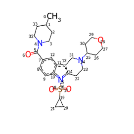 CC1CCN(C(=O)c2ccc3c(c2)c2c(n3S(=O)(=O)C3CC3)CCN(C3CCOCC3)C2)CC1